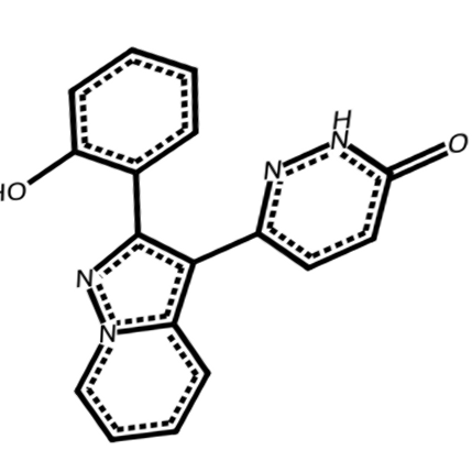 O=c1ccc(-c2c(-c3ccccc3O)nn3ccccc23)n[nH]1